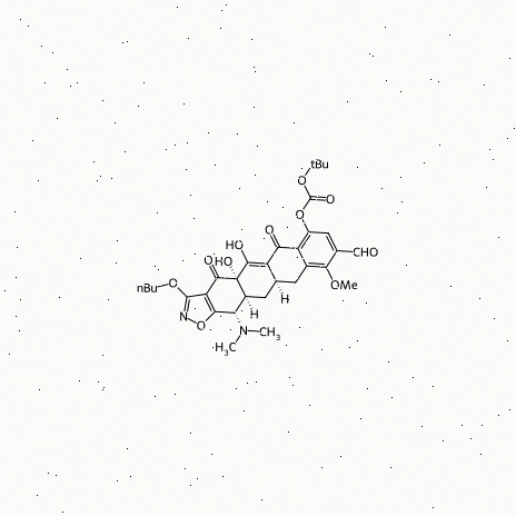 CCCCOc1noc2c1C(=O)[C@@]1(O)C(O)=C3C(=O)c4c(OC(=O)OC(C)(C)C)cc(C=O)c(OC)c4C[C@H]3C[C@H]1[C@@H]2N(C)C